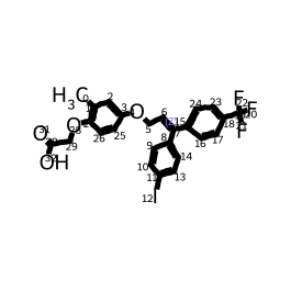 Cc1cc(OC/C=C(\c2ccc(I)cc2)c2ccc(C(F)(F)F)cc2)ccc1OCC(=O)O